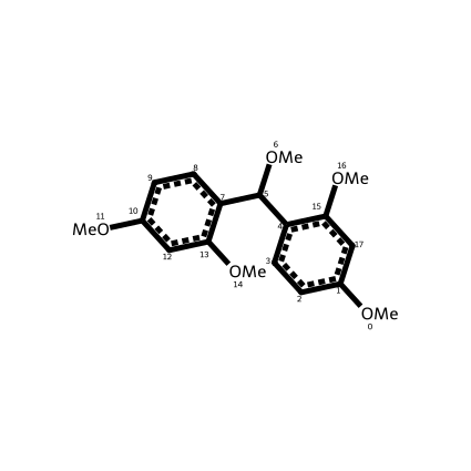 COc1ccc(C(OC)c2ccc(OC)cc2OC)c(OC)c1